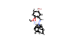 COc1cc(C)c(Br)cc1CNC12CC3CC(CC(C3)C1)C2